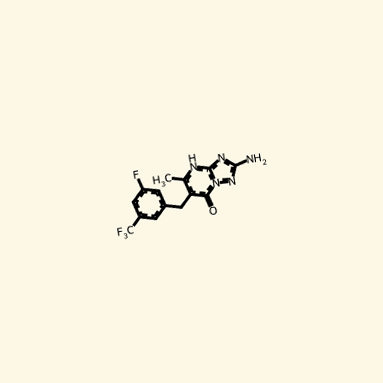 Cc1[nH]c2nc(N)nn2c(=O)c1Cc1cc(F)cc(C(F)(F)F)c1